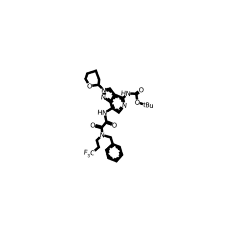 CC(C)(C)OC(=O)Nc1ncc(NC(=O)C(=O)N(CCC(F)(F)F)Cc2ccccc2)c2nn(C3CCCCO3)cc12